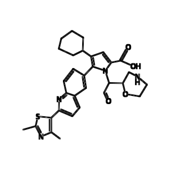 Cc1nc(C)c(-c2ccc3cc(-c4c(C5CCCCC5)cc(C(=O)O)n4C(C=O)C4CNCCO4)ccc3n2)s1